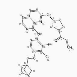 C=CC(=O)N1CC[C@H](Oc2ccc3ncnc(Nc4ccc(OCC56COC(C5)C6)c(Cl)c4F)c3n2)C1